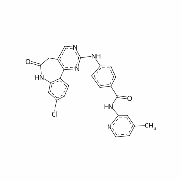 Cc1ccnc(NC(=O)c2ccc(Nc3ncc4c(n3)-c3ccc(Cl)cc3NC(=O)C4)cc2)c1